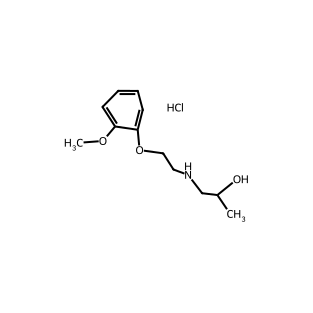 COc1ccccc1OCCNCC(C)O.Cl